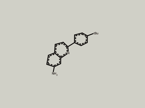 CC(C)(C)c1ccc(-c2ccc3ccc(N)cc3n2)cc1